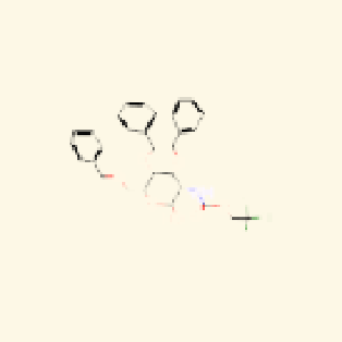 O=C(N[C@H]1C(O)O[C@H](COCc2ccccc2)[C@@H](OCc2ccccc2)[C@@H]1OCc1ccccc1)OCC(Cl)(Cl)Cl